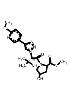 CNC(=O)C1CC(O)CN1C(=O)[C@@H](n1cc(-c2ccc(OC)nc2)nn1)C(C)(C)C